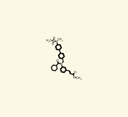 COC(=O)/C=C/c1cccc(N(Cc2ccc(-c3ccc(N(C)S(C)(=O)=O)cc3)cc2)C(=O)C2CCCCC2)c1